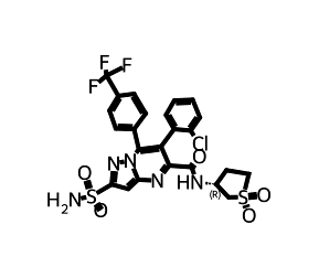 NS(=O)(=O)c1cc2nc(C(=O)N[C@@H]3CCS(=O)(=O)C3)c(-c3ccccc3Cl)c(-c3ccc(C(F)(F)F)cc3)n2n1